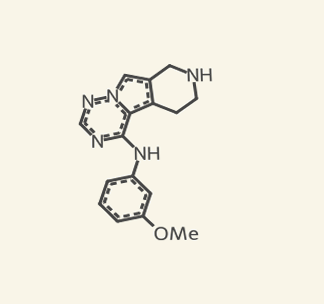 COc1cccc(Nc2ncnn3cc4c(c23)CCNC4)c1